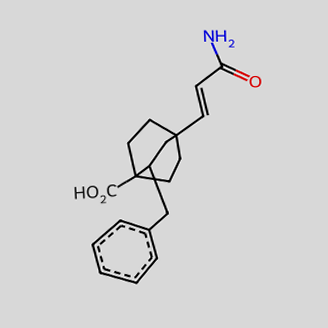 NC(=O)C=CC12CCC(C(=O)O)(CC1)C(Cc1ccccc1)C2